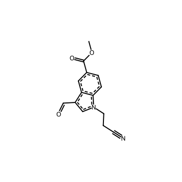 COC(=O)c1ccc2c(c1)c(C=O)cn2CCC#N